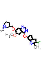 COc1cc2c(Oc3ccc4cc(F)c(C)nc4c3)ncnc2cc1OCC1CCCN(C)C1